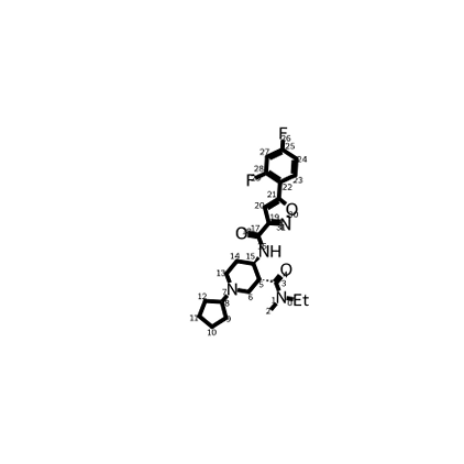 CCN(C)C(=O)[C@@H]1CN(C2CCCC2)CC[C@H]1NC(=O)c1cc(-c2ccc(F)cc2F)on1